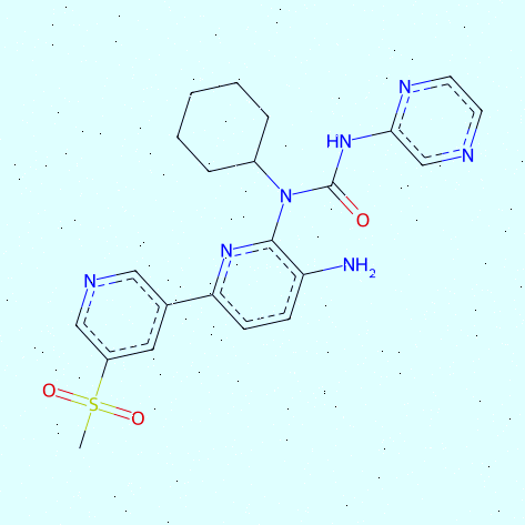 CS(=O)(=O)c1cncc(-c2ccc(N)c(N(C(=O)Nc3cnccn3)C3CCCCC3)n2)c1